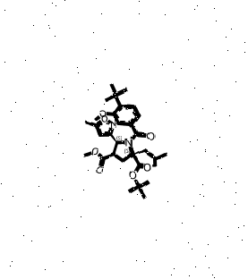 COC(=O)C1C[C@@](CC(C)C)(C(=O)OC(C)(C)C)N(C(=O)c2ccc(C(C)(C)C)c(OC)c2)[C@@H]1c1cc(C)on1